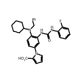 CC(C)CN(c1ccc(-n2cccc2C(=O)O)cc1NC(=O)Nc1ccccc1F)C1CCCCC1